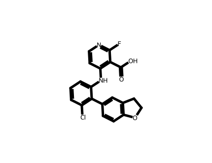 O=C(O)c1c(Nc2cccc(Cl)c2-c2ccc3c(c2)CCO3)ccnc1F